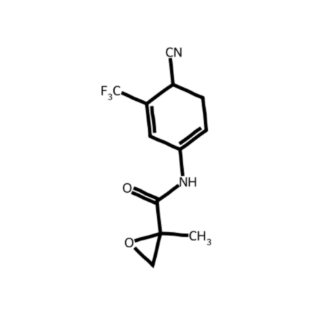 CC1(C(=O)NC2=CCC(C#N)C(C(F)(F)F)=C2)CO1